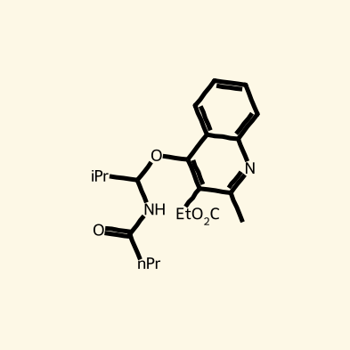 CCCC(=O)NC(Oc1c(C(=O)OCC)c(C)nc2ccccc12)C(C)C